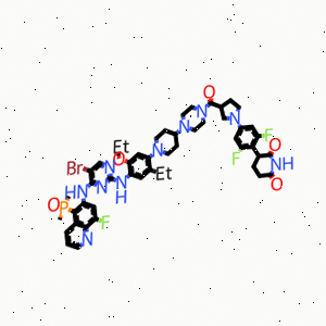 CCOc1cc(N2CCC(N3CCN(C(=O)C4CCN(c5cc(F)c(C6CCC(=O)NC6=O)c(F)c5)C4)CC3)CC2)c(CC)cc1Nc1ncc(Br)c(Nc2cc(F)c3ncccc3c2P(C)(C)=O)n1